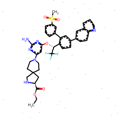 CCOC(=O)[C@@H]1CC2(CCN(c3cc(O[C@H](c4ccc(-c5ccc6ncccc6c5)cc4-c4cccc(S(C)(=O)=O)c4)C(F)(F)F)nc(N)n3)CC2)CN1